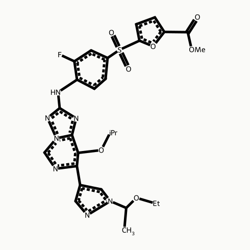 CCOC(C)n1cc(-c2ncn3nc(Nc4ccc(S(=O)(=O)c5ccc(C(=O)OC)o5)cc4F)nc3c2OC(C)C)cn1